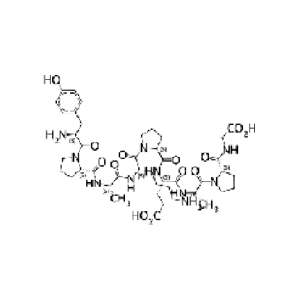 C[C@H](NC(=O)[C@@H]1CCCN1C(=O)[C@@H](N)Cc1ccc(O)cc1)C(=O)N[C@@H](CCCCN)C(=O)N1CCC[C@H]1C(=O)N[C@@H](CCC(=O)O)C(=O)N[C@@H](C)C(=O)N1CCC[C@H]1C(=O)NCC(=O)O